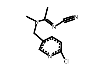 CC(=NC#N)N(C)Cc1ccc(Cl)nc1